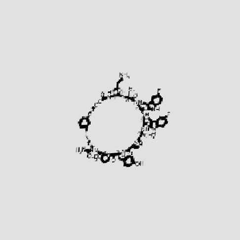 C[C@@H]1NC(=O)[C@H](Cc2c[nH]c3ccc(F)cc23)NC(=O)[C@@H](Cc2c[nH]c3ccc(F)cc23)NC(=O)[C@@H](C)NC(=O)[C@H](CCCCN)NC(=O)CCSCc2cccc(c2)CSC[C@@H](C(N)=O)NC(=O)[C@]2(C)CCCN2C(=O)[C@H](Cc2ccc(O)cc2)NC(=O)c2cnc1s2